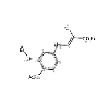 CCOC(=O)/C(C#N)=C/Nc1ccc(NC(C)=O)c(OCC)c1